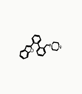 c1ccc(-c2ccccc2-c2cc3ccccc3o2)c(CN2CC[N]CC2)c1